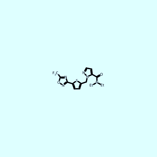 CCN(CC)C(=O)c1ccnn1Cc1ccc(-c2noc(C(F)(F)F)n2)s1